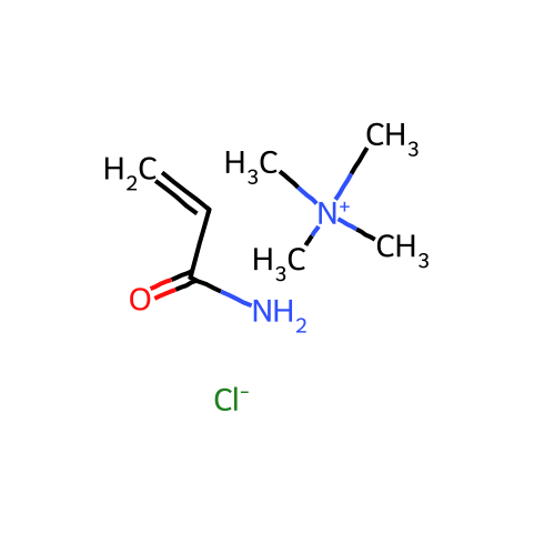 C=CC(N)=O.C[N+](C)(C)C.[Cl-]